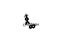 OC1CCc2cccc(Nc3cc(-c4ccc(C(F)(F)F)cc4)nc(Cl)n3)c2C1